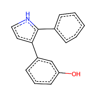 Oc1cccc(-c2cc[nH]c2-c2ccccc2)c1